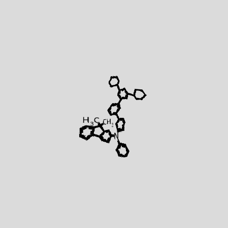 CC1(C)c2ccccc2-c2ccc(N(c3ccccc3)c3cccc(-c4cccc(-c5cc(C6CCCCC6)cc(C6CCCCC6)c5)c4)c3)cc21